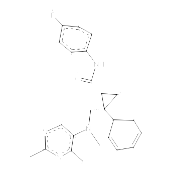 Cc1ncc(N(C)C[C@@]2(C3C=CC=CC3)C[C@H]2C(=O)Nc2ccc(F)cc2)c(C)n1